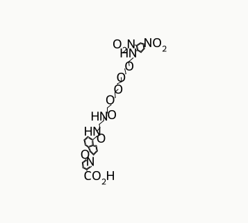 O=C(CCOCCOCCOCCOCCNc1ccc([N+](=O)[O-])cc1[N+](=O)[O-])NCCCNC(=O)c1cccc2c(Oc3ccc(C(=O)O)cn3)cccc12